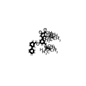 CC(C)(C)[Si](C)(C)OCc1cc(OCc2cccc(-c3ccccc3)c2)cc(C2CC(=O)N(C(=O)O)C2CO[Si](C)(C)C(C)(C)C)c1